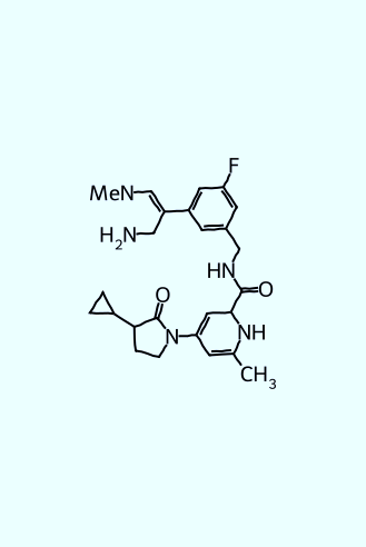 CN/C=C(\CN)c1cc(F)cc(CNC(=O)C2C=C(N3CCC(C4CC4)C3=O)C=C(C)N2)c1